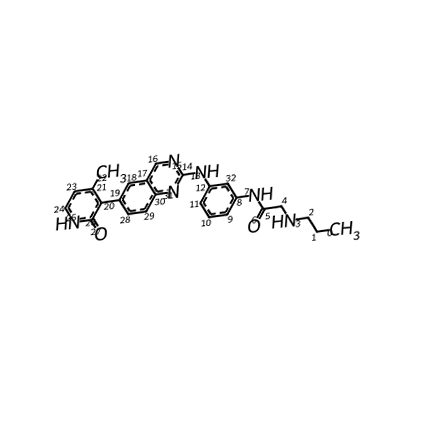 CCCNCC(=O)Nc1cccc(Nc2ncc3cc(-c4c(C)cc[nH]c4=O)ccc3n2)c1